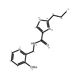 COc1cccnc1CNC(=O)c1csc(CCI)n1